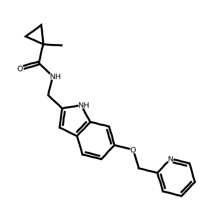 CC1(C(=O)NCc2cc3ccc(OCc4ccccn4)cc3[nH]2)CC1